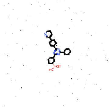 OB(O)c1cccc(-c2nc(-c3ccccc3)nc(-c3ccc(-c4cccnc4)cc3)n2)c1